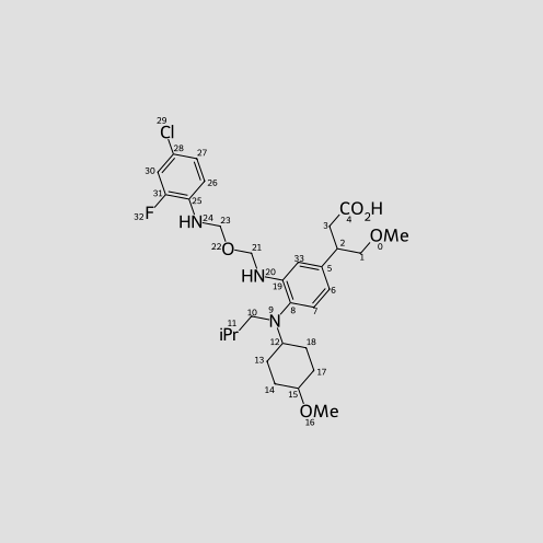 COCC(CC(=O)O)c1ccc(N(CC(C)C)C2CCC(OC)CC2)c(NCOCNc2ccc(Cl)cc2F)c1